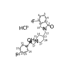 Cl.O=C1c2cccc(F)c2CN1CC1CCN(C[C@H](O)c2ccc(F)cc2)CC1